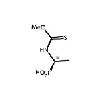 COC(=S)N[C@@H](C)C(=O)O